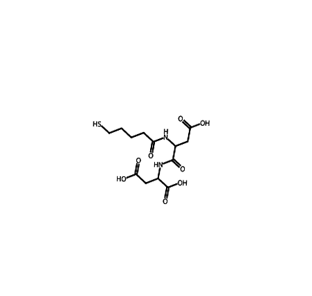 O=C(O)CC(NC(=O)C(CC(=O)O)NC(=O)CCCCS)C(=O)O